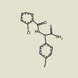 NC(=S)N(NC(=O)c1ccccc1Cl)c1ccc(F)cc1